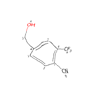 N#Cc1ccc(CO)cc1C(F)(F)F